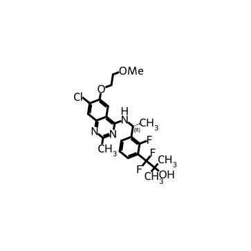 COCCOc1cc2c(N[C@H](C)c3cccc(C(F)(F)C(C)(C)O)c3F)nc(C)nc2cc1Cl